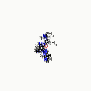 [2H]c1nc([2H])c(-c2ccnc(Nc3c([2H])c(C(=O)Nc4cc(C)cc(-n5c([2H])nc(C)c5[2H])c4)c([2H])c([2H])c3C([2H])([2H])[2H])n2)c([2H])c1[2H]